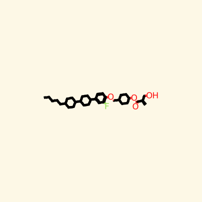 C=C(CO)C(=O)OC1CCC(COc2ccc(C3CCC(C4CCC(CCCCC)CC4)CC3)cc2F)CC1